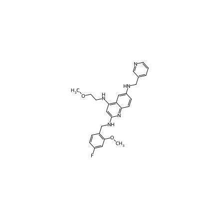 COCCNc1cc(NCc2ccc(F)cc2OC)nc2ccc(NCc3cccnc3)cc12